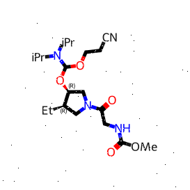 CC[C@@H]1CN(C(=O)CNC(=O)OC)C[C@@H]1OC(OCCC#N)N(C(C)C)C(C)C